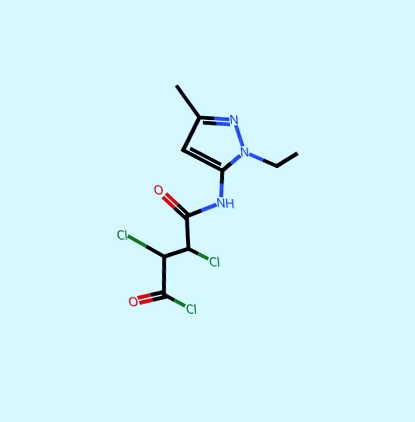 CCn1nc(C)cc1NC(=O)C(Cl)C(Cl)C(=O)Cl